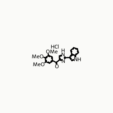 COc1cc(C(=O)c2c[nH]c(-c3c[nH]c4ccccc34)n2)cc(OC)c1OC.Cl